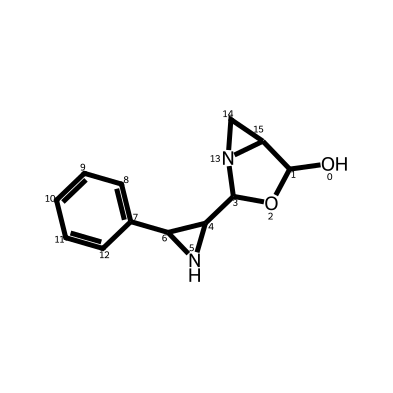 OC1OC(C2NC2c2ccccc2)N2CC12